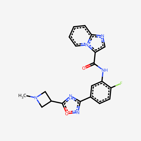 CN1CC(c2nc(-c3ccc(F)c(NC(=O)c4cnc5ccccn45)c3)no2)C1